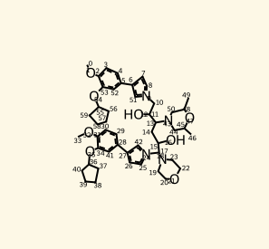 COc1ccc(-c2ccn(CC(O)C(CC(O)C(N3CCOCC3)n3ccc(-c4ccc(OC)c(OC5CCCC5)c4)c3)N3CC(C)OC(C)C3)c2)cc1OC1CCCC1